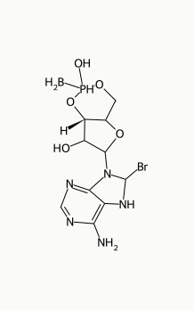 B[PH]1(O)OCC2OC(N3c4ncnc(N)c4NC3Br)C(O)[C@@H]2O1